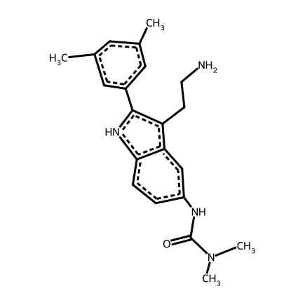 Cc1cc(C)cc(-c2[nH]c3ccc(NC(=O)N(C)C)cc3c2CCN)c1